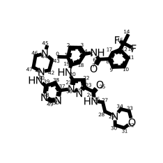 Cc1ccc(NC(=O)c2cccc(C(C)(F)F)c2)cc1Nc1cc(C(=O)NCCN2CCOCC2)nn1-c1cc(NN2CCN(C)CC2)ncn1